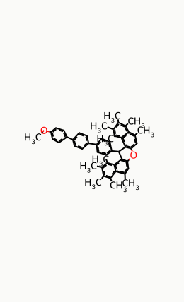 COc1ccc(-c2ccc(-c3ccc(C4c5c(cc(C)c6c(C)c(C)c(C)c(C)c56)Oc5cc(C)c6c(C)c(C)c(C)c(C)c6c54)cc3)cc2)cc1